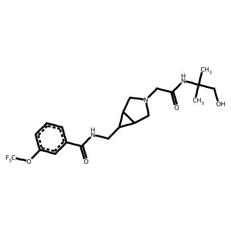 CC(C)(CO)NC(=O)CN1CC2C(CNC(=O)c3cccc(OC(F)(F)F)c3)C2C1